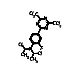 CC(Cl)N(c1ccc(-c2nc(C(Cl)(Cl)Cl)nc(C(Cl)(Cl)Cl)n2)cc1F)C(C)Cl